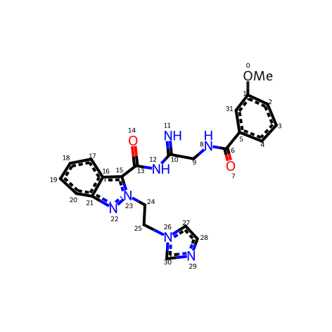 COc1cccc(C(=O)NCC(=N)NC(=O)c2c3ccccc3nn2CCn2ccnc2)c1